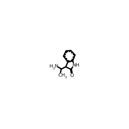 CC(N)C1C(=O)Nc2ccccc21